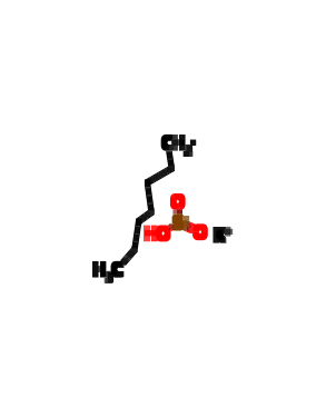 O=[S-](=O)O.[CH2]CCCCCC.[K+]